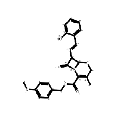 COc1ccc(COC(=O)C2=C(C)CSC3C(N=Cc4ccccc4O)C(=O)N23)cc1